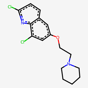 Clc1ccc2cc(OCCN3CCCCC3)cc(Cl)c2n1